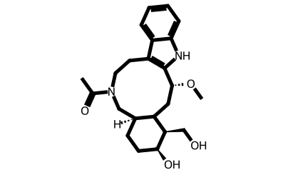 CO[C@@H]1CC2[C@@H](CC[C@H](O)[C@@H]2CO)CN(C(C)=O)CCc2c1[nH]c1ccccc21